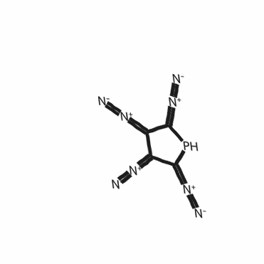 [N-]=[N+]=c1[pH]c(=[N+]=[N-])c(=[N+]=[N-])c1=[N+]=[N-]